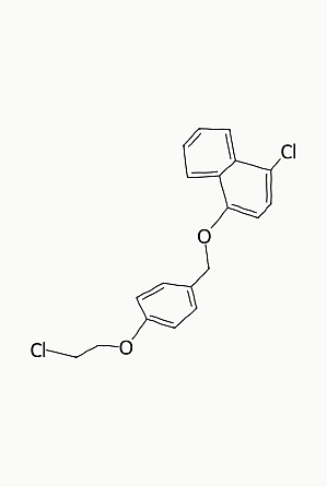 ClCCOc1ccc(COc2ccc(Cl)c3ccccc23)cc1